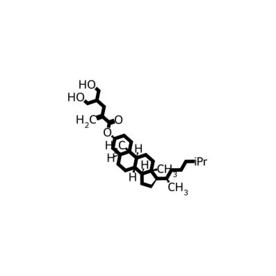 C=C(CC(CO)CO)C(=O)O[C@H]1CC[C@@]2(C)[C@@H](CC[C@@H]3[C@@H]2CC[C@]2(C)[C@@H]([C@H](C)CCCC(C)C)CC[C@@H]32)C1